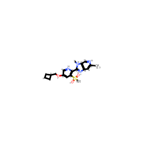 CCS(=O)(=O)c1cc(OCC2CCC2)cnc1-c1nc2cc(C(F)(F)F)ncc2n1C